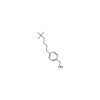 CC(C)(C)CCCCc1ccc(CO)cc1